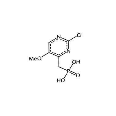 COc1cnc(Cl)nc1CP(=O)(O)O